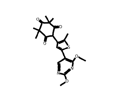 COc1ncc(-c2cc(C3C(=O)C(C)(C)C(=O)C(C)(C)C3=O)c(C)s2)c(OC)n1